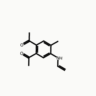 C=CNc1cc(C(C)=O)c(C(C)=O)cc1C